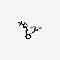 CNCC(O)COc1ccccc1/C=C/c1cc(C(C)(C)C)no1